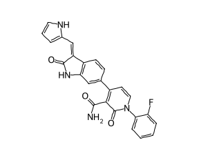 NC(=O)c1c(-c2ccc3c(c2)NC(=O)C3=Cc2ccc[nH]2)ccn(-c2ccccc2F)c1=O